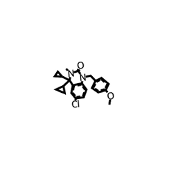 COc1ccc(CN2C(=O)N(C)C(C3CC3)(C3CC3)c3cc(Cl)ccc32)cc1